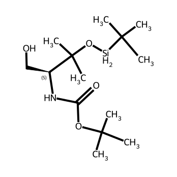 CC(C)(C)OC(=O)N[C@@H](CO)C(C)(C)O[SiH2]C(C)(C)C